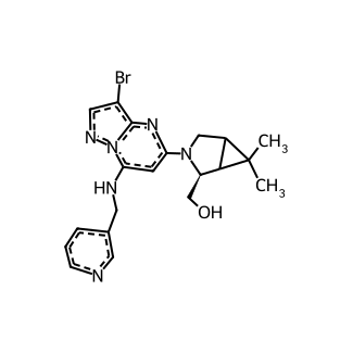 CC1(C)C2CN(c3cc(NCc4cccnc4)n4ncc(Br)c4n3)[C@H](CO)C21